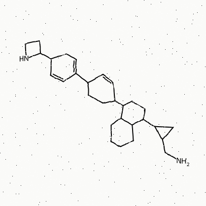 NCC1CC1C1CCC(C2C=CC(C3=CCC(C4CCN4)C=C3)CC2)C2CCCCC21